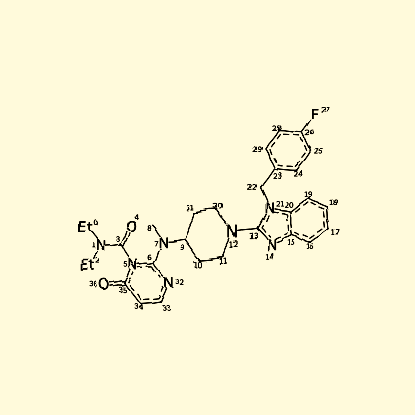 CCN(CC)C(=O)n1c(N(C)C2CCN(c3nc4ccccc4n3Cc3ccc(F)cc3)CC2)nccc1=O